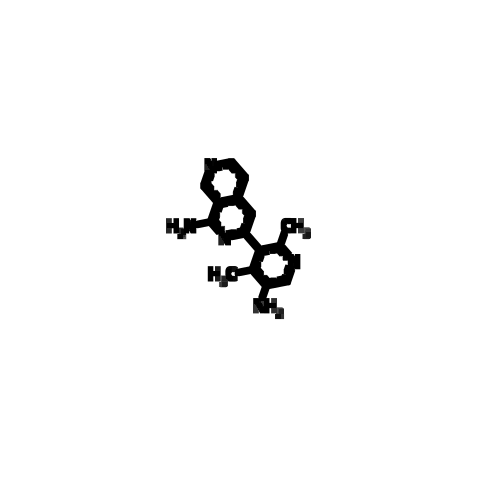 Cc1ncc(N)c(C)c1-c1cc2ccncc2c(N)n1